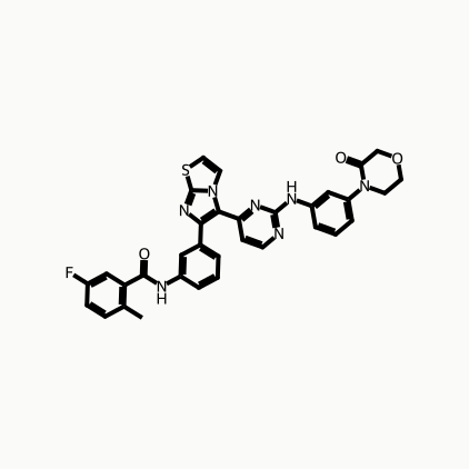 Cc1ccc(F)cc1C(=O)Nc1cccc(-c2nc3sccn3c2-c2ccnc(Nc3cccc(N4CCOCC4=O)c3)n2)c1